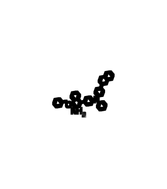 Nc1cc(-c2ccc(N(c3ccccc3)c3ccc(-c4ccc5ccccc5c4)cc3)cc2)c2ccccc2c1OCc1ccccc1